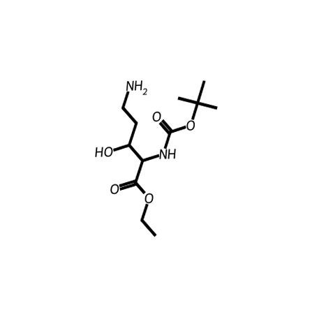 CCOC(=O)C(NC(=O)OC(C)(C)C)C(O)CCN